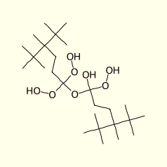 CC(C)(C)C(C)(CCC(O)(OO)OC(CCC(C)(C(C)(C)C)C(C)(C)C)(OO)OO)C(C)(C)C